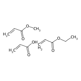 C=CC(=O)O.C=CC(=O)OC.C=CC(=O)OCC